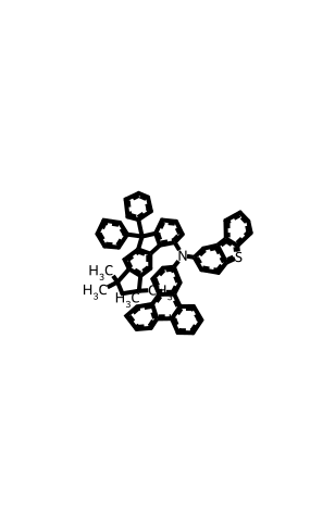 CC1(C)CC(C)(C)c2cc3c(cc21)-c1c(N(c2ccc4sc5ccccc5c4c2)c2ccc4c5ccccc5c5ccccc5c4c2)cccc1C3(c1ccccc1)c1ccccc1